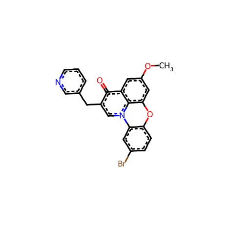 COc1cc2c3c(c1)c(=O)c(Cc1cccnc1)cn3-c1cc(Br)ccc1O2